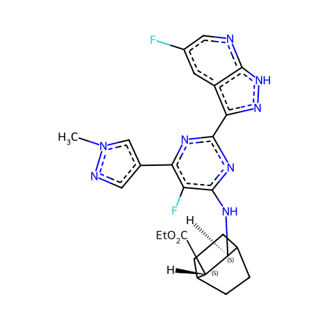 CCOC(=O)[C@H]1C2CCC(CC2)[C@@H]1Nc1nc(-c2n[nH]c3ncc(F)cc23)nc(-c2cnn(C)c2)c1F